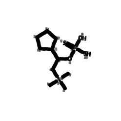 C[N+](C)(C)CC(OP(O)(=S)S)C1CCCC1